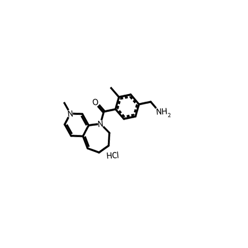 Cc1cc(CN)ccc1C(=O)N1CCCC=C2C=CN(C)C=C21.Cl